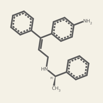 C[C@@H](NCC=C(c1ccccc1)c1ccc(N)cc1)c1ccccc1